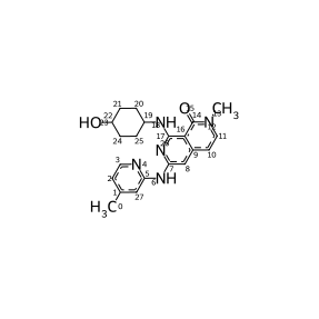 Cc1ccnc(Nc2cc3ccn(C)c(=O)c3c(NC3CCC(O)CC3)n2)c1